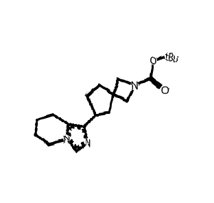 CC(C)(C)OC(=O)N1CC2(CCC(c3ncn4c3CCCC4)C2)C1